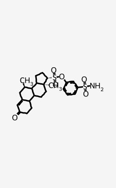 C[C@@H]1CC2=CC(=O)CCC2C2CC[C@@]3(C)C(CC[C@@H]3S(=O)(=O)Oc3cccc(S(N)(=O)=O)c3)C21